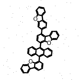 c1ccc2c(c1)oc1cc(-c3ccc(-c4c5ccccc5c(-c5cccc6c5oc5ccccc56)c5ccccc45)c4oc5ccccc5c34)ccc12